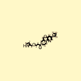 O=C(CCOCC1CCN1)N1CCN2c3ncc(N4CCC4)cc3OCC2C1